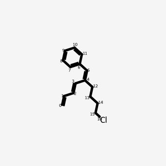 C=CC=CC(=Cc1ccccc1)CCCCCl